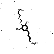 CCOC(=O)C=CC=Cc1cc(C(C)C)c(OCOCCOC)c(C(C)C)c1